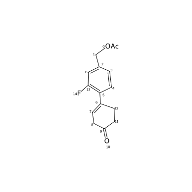 CC(=O)OCc1ccc(C2=CCC(=O)CC2)c(F)c1